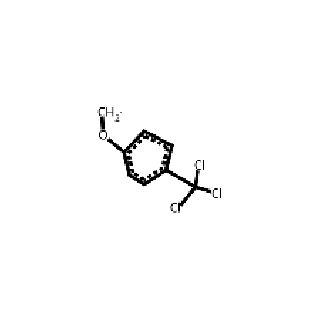 [CH2]Oc1ccc(C(Cl)(Cl)Cl)cc1